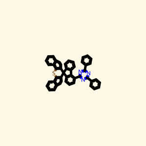 c1ccc(-c2nc(-c3ccccc3)nc(-c3cccc4c3-c3ccccc3C43c4ccc5ccccc5c4Sc4c3ccc3ccccc43)n2)cc1